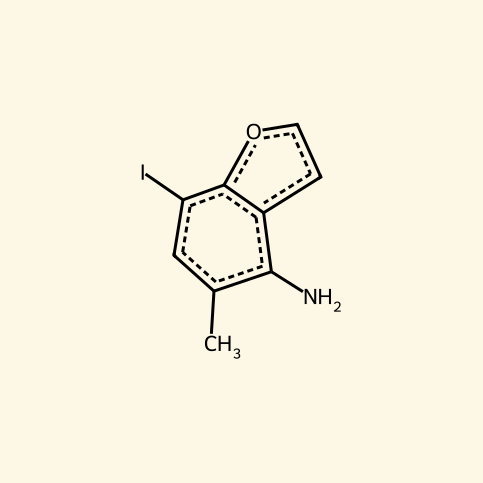 Cc1cc(I)c2occc2c1N